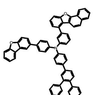 c1ccc(-c2ccc(-c3ccc(N(c4ccc(-c5ccc6oc7ccccc7c6c5)cc4)c4cccc(-c5cccc6oc7c8ccccc8ccc7c56)c4)cc3)cc2-c2ccccc2)cc1